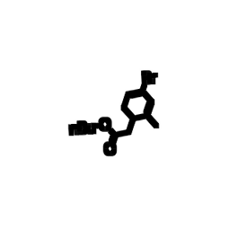 CCCCOC(=O)CC1CC=C(Br)C=C1C